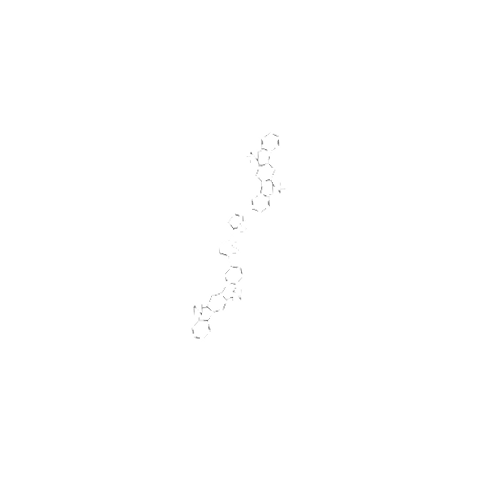 Cn1c2ccccc2c2cc3c(cc21)c1cc(C2=CCC(c4ccc(-c5ccc6c(c5)c5cc7c(cc5n6C)c5ccccc5n7C)s4)S2)ccc1n3C